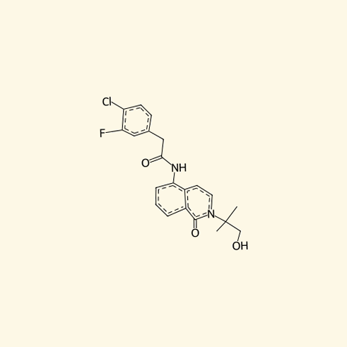 CC(C)(CO)n1ccc2c(NC(=O)Cc3ccc(Cl)c(F)c3)cccc2c1=O